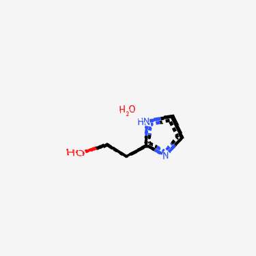 O.OCCc1ncc[nH]1